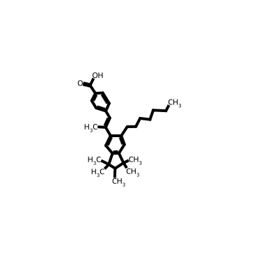 CCCCCCCc1cc2c(cc1C(C)=Cc1ccc(C(=O)O)cc1)C(C)(C)C(C)C2(C)C